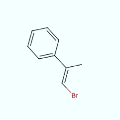 C/C(=C\Br)c1ccccc1